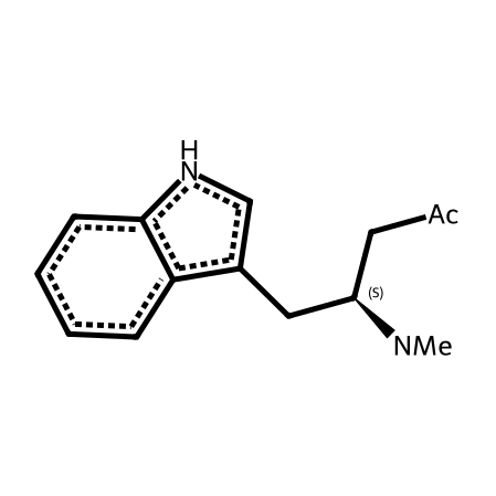 CN[C@H](CC(C)=O)Cc1c[nH]c2ccccc12